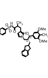 COc1cc([C@@H](O)[C@H](CC2Cc3ccccc3C2)Cn2ccc(CC(C)C(=O)NS(=O)(=O)c3ccccc3)c2)cc(OC)c1C